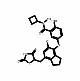 CN(C(=O)c1cc(Oc2c(Cl)cc(CC3SC(=O)NC3=O)c3c2CCC3)ccc1O)C1CCC1